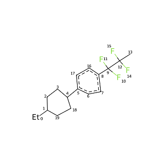 CCC1CCC(c2ccc(C(F)(F)C(C)(F)F)cc2)CC1